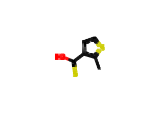 Cc1sccc1C(O)=S